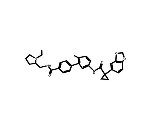 CCN1CCCC1CNC(=O)c1ccc(-c2cc(NC(=O)C3(c4ccc5c(c4)OCO5)CC3)ccc2C)cc1